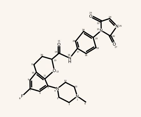 CN1CCN(c2cc(F)cc3c2OC(C(=O)Nc2ccc(N4C(=O)C=NC4=O)cc2)CC3)CC1